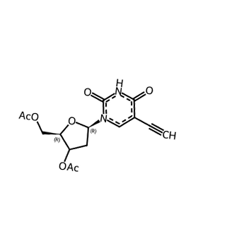 C#Cc1cn([C@H]2CC(OC(C)=O)[C@@H](COC(C)=O)O2)c(=O)[nH]c1=O